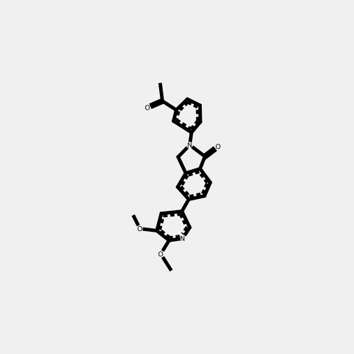 COc1cc(-c2ccc3c(c2)CN(c2cccc(C(C)=O)c2)C3=O)cnc1OC